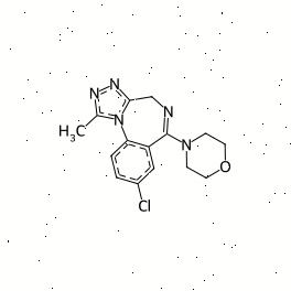 Cc1nnc2n1-c1ccc(Cl)cc1C(N1CCOCC1)=NC2